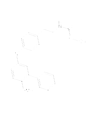 COc1ccc(Nc2ccc(CCNC(=O)OC(C)(C)C)cc2)cc1-c1ccccc1